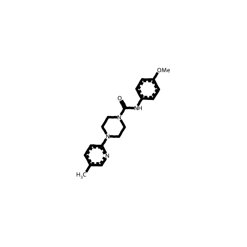 COc1ccc(NC(=O)N2CCN(c3ccc(C)cn3)CC2)cc1